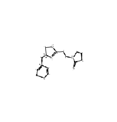 O=C1CCCN1CCC1=N[C@@H](CC2=CCCC=C2)CO1